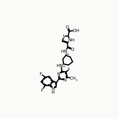 Cc1nc(-c2c[nH]c3c(F)cc(F)cc23)nc(N[C@H]2CCC[C@@H](NC(=O)C3=CSC(C(=O)O)N3)C2)c1F